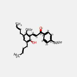 CC=CCc1cc(CC=CC)c(OC)c(C=CC(=O)c2ccc(NC)cc2)c1O